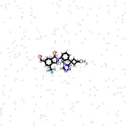 C=C1CC(c2cccc(N3Cc4c(cc(C=O)cc4C(F)(F)F)C3=O)c2)(c2nncn2C)C1